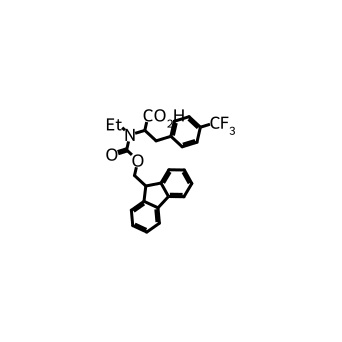 CCN(C(=O)OCC1c2ccccc2-c2ccccc21)C(Cc1ccc(C(F)(F)F)cc1)C(=O)O